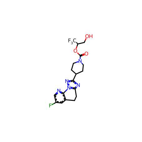 O=C(OC(CO)C(F)(F)F)N1CCC(c2nc3n(n2)-c2ncc(F)cc2CC3)CC1